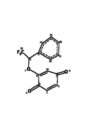 O=C1C=CC(=O)C(OC(c2ccccc2)C(F)(F)F)=C1